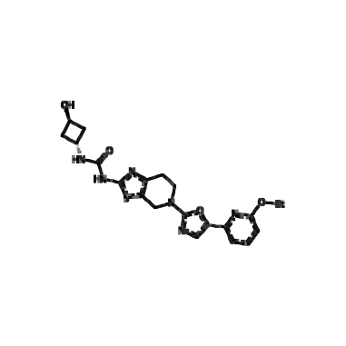 CCOc1cccc(-c2cnc(N3CCc4nc(NC(=O)N[C@H]5C[C@H](O)C5)sc4C3)o2)n1